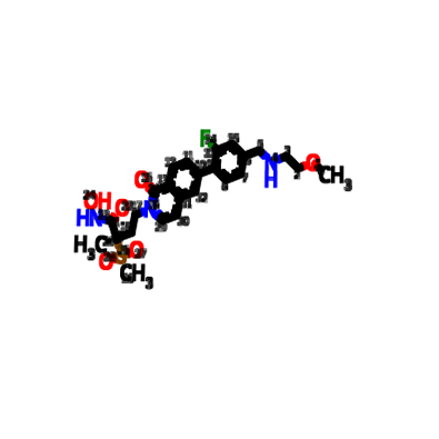 COCCNCc1ccc(-c2ccc3c(=O)n(CC[C@](C)(C(=O)NO)S(C)(=O)=O)ccc3c2)c(F)c1